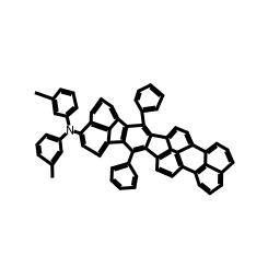 Cc1cccc(N(c2cccc(C)c2)c2ccc3c4c(-c5ccccc5)c5c6ccc7c8cccc9cccc(c%10ccc(c5c(-c5ccccc5)c4c4cccc2c43)c6c%107)c98)c1